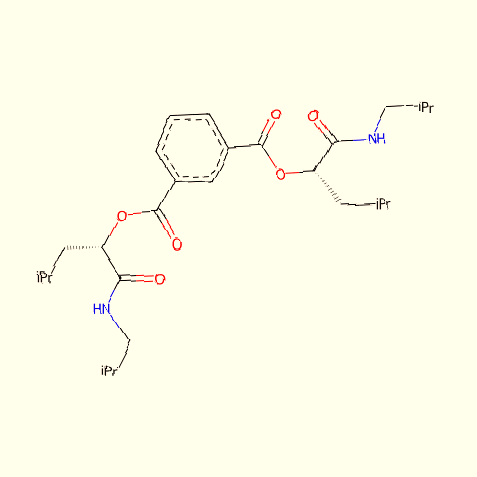 CC(C)CNC(=O)[C@H](CC(C)C)OC(=O)c1cccc(C(=O)O[C@@H](CC(C)C)C(=O)NCC(C)C)c1